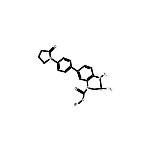 CC(=O)N1c2ccc(-c3ccc(N4CCCC4=O)cc3)cc2N(C(=O)OC(C)C)C[C@@H]1C